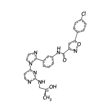 C[C@H](O)CNc1nccc(-n2ccnc2-c2cccc(NC(=O)c3cc(-c4ccc(Cl)cc4)on3)c2)n1